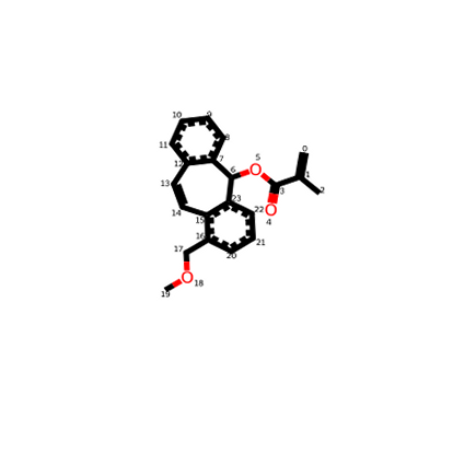 C=C(C)C(=O)OC1c2ccccc2C=Cc2c(COC)cccc21